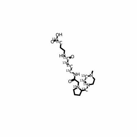 CN1CC[15N]([13CH2]C2CCC[15N]2CC(=O)N[13CH2][13CH2][13CH2][13C](=O)NCC[13CH2][13C](=O)O)[13CH2][13CH2]1